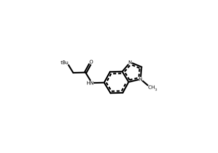 Cn1cnc2cc(NC(=O)CC(C)(C)C)ccc21